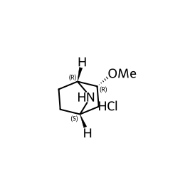 CO[C@@H]1C[C@@H]2CC[C@H]1N2.Cl